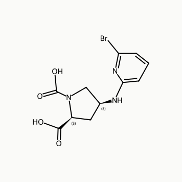 O=C(O)[C@@H]1C[C@H](Nc2cccc(Br)n2)CN1C(=O)O